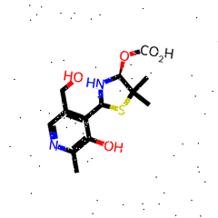 Cc1ncc(CO)c(C2N[C@@H](OC(=O)O)C(C)(C)S2)c1O